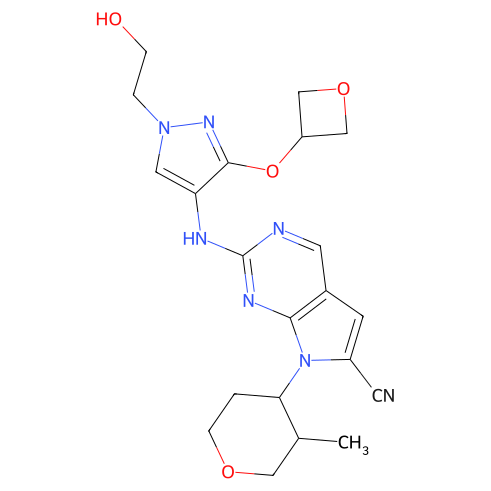 CC1COCCC1n1c(C#N)cc2cnc(Nc3cn(CCO)nc3OC3COC3)nc21